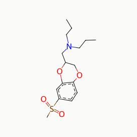 CCCN(CCC)CC1COc2ccc(S(C)(=O)=O)cc2O1